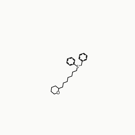 c1ccc(C[S+](CCCCCCCC2CCCCO2)c2ccccc2)cc1